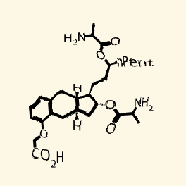 CCCCC[C@@H](CC[C@@H]1[C@H]2Cc3cccc(OCC(=O)O)c3C[C@H]2C[C@H]1OC(=O)C(C)N)OC(=O)C(C)N